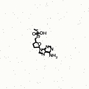 CSP(=O)(O)OCC1CCC(n2cnc3c(N)ncnc32)O1